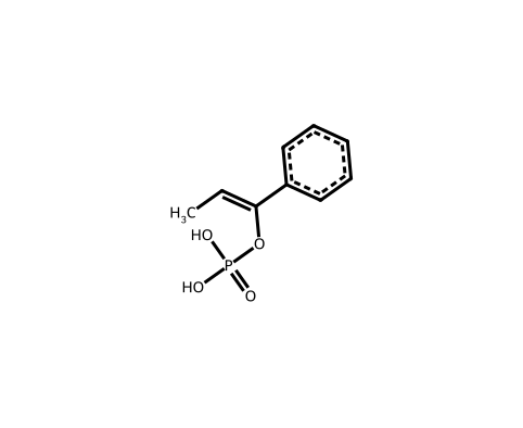 CC=C(OP(=O)(O)O)c1ccccc1